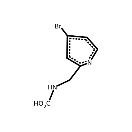 O=C(O)NCc1cc(Br)ccn1